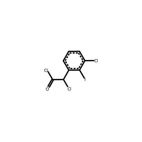 O=C(Cl)C(Cl)c1cccc(Cl)c1I